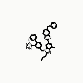 CCCc1nc2c(C)cc(-c3nc4cc(Cc5ccccc5)ccc4s3)cc2n1Cc1ccc(-c2ccccc2)c(-c2nnn[nH]2)c1